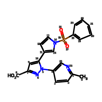 Cc1ccc(-n2nc(C(=O)O)cc2-c2ccn(S(=O)(=O)c3ccccc3)c2)cn1